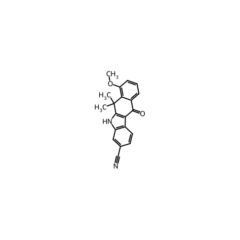 COc1cccc2c1C(C)(C)c1[nH]c3cc(C#N)ccc3c1C2=O